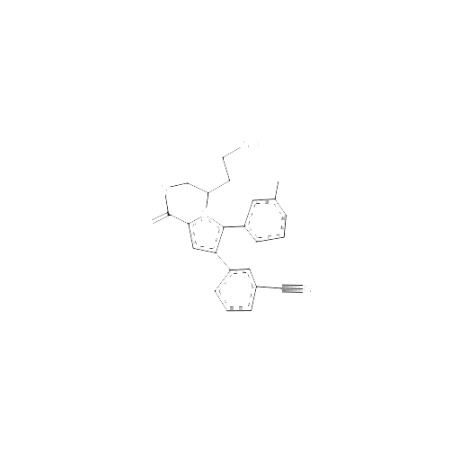 Cc1cccc(-c2c(-c3cccc(C#N)c3)cc3n2C(CCN)CNC3=O)c1.Cl